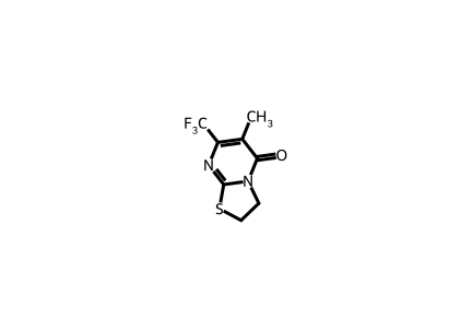 Cc1c(C(F)(F)F)nc2n(c1=O)CCS2